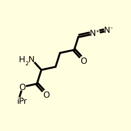 CC(C)OC(=O)C(N)CCC(=O)C=[N+]=[N-]